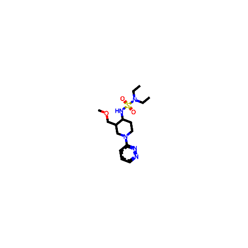 CCN(CC)S(=O)(=O)NC1CCN(c2cccnn2)CC1COC